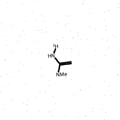 [2H]NC(=C)NC